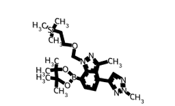 Cc1nn(COCC[Si](C)(C)C)c2c(B3OC(C)(C)C(C)(C)O3)ccc(-c3cnn(C)n3)c12